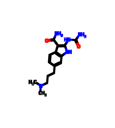 CN(C)CCCc1ccc2c(C(N)=O)c(NC(N)=O)[nH]c2c1